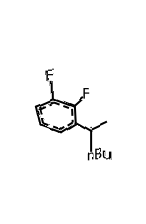 CCCC[C](C)c1cccc(F)c1F